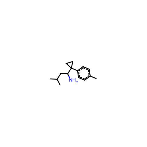 Cc1ccc(C2(C(N)CC(C)C)CC2)cc1